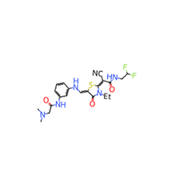 CCn1c(=C(C#N)C(=O)NCC(F)F)sc(=CNc2cccc(NC(=O)CN(C)C)c2)c1=O